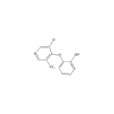 Oc1ccccc1Oc1c(Cl)cncc1C(F)(F)F